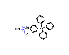 CCC[NH+](CCC)CCC.c1cc[c]([Al-]([c]2ccccc2)([c]2ccccc2)[c]2ccccc2)cc1